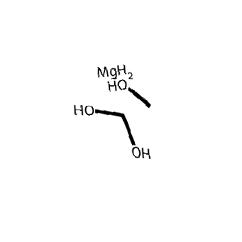 CO.OCO.[MgH2]